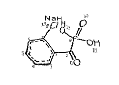 O=C(c1ccccc1Cl)P(=O)(O)O.[NaH]